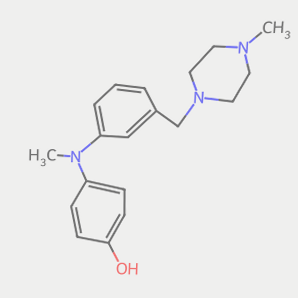 CN1CCN(Cc2cccc(N(C)c3ccc(O)cc3)c2)CC1